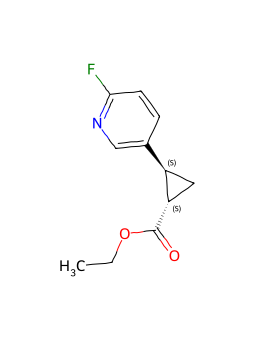 CCOC(=O)[C@H]1C[C@@H]1c1ccc(F)nc1